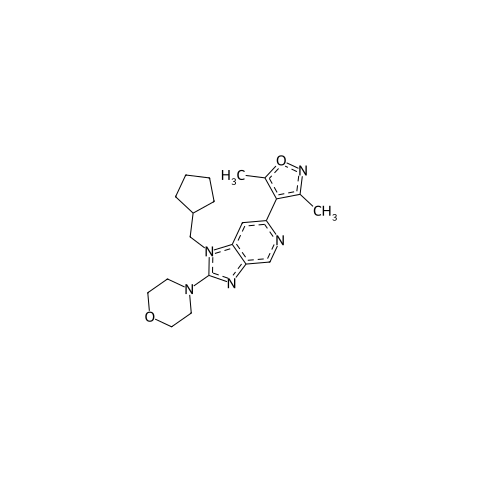 Cc1noc(C)c1-c1cc2c(cn1)nc(N1CCOCC1)n2CC1CCCC1